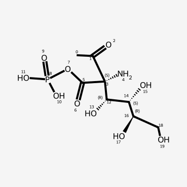 CC(=O)[C@](N)(C(=O)OP(=O)(O)O)[C@@H](O)[C@H](O)[C@H](O)CO